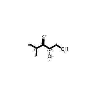 CC(C)C(=S)[C@@H](O)CO